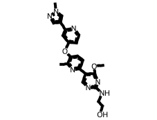 COc1nc(NCCO)ncc1-c1ccc(Oc2ccnc(-c3cnn(C)c3)c2)c(C)n1